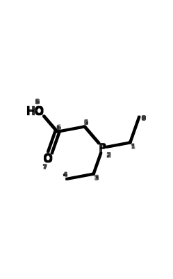 CCP(CC)CC(=O)O